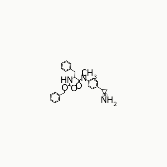 CN(C(=O)C(Cc1ccccc1)NC(=O)OCc1ccccc1)c1ccc(C2C[C@H]2N)cc1